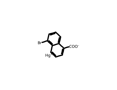 O=C([O-])c1cccc2c(Br)cccc12.[Hg+]